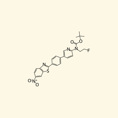 CC(C)(C)OC(=O)N(CCF)c1ccc(-c2ccc(-c3nc4ccc([N+](=O)[O-])cc4s3)cc2)cn1